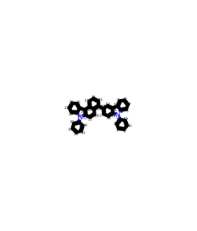 c1ccc(-n2c3ccccc3c3cc(-c4cccc5c4ccc4c5c5ccccc5n4-c4ccccc4)ccc32)cc1